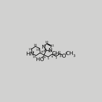 COCCCC[C@@](O)(c1nccn1C)[C@@H]1CCCNC1